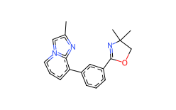 Cc1cn2cccc(-c3cccc(C4=NC(C)(C)CO4)c3)c2n1